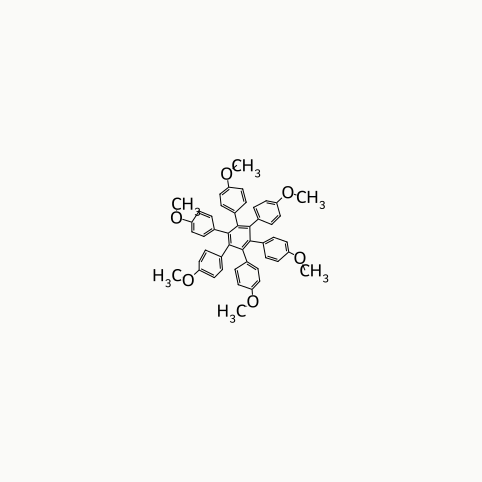 COc1ccc(-c2c(-c3ccc(OC)cc3)c(-c3ccc(OC)cc3)c(-c3ccc(OC)cc3)c(-c3ccc(OC)cc3)c2-c2ccc(OC)cc2)cc1